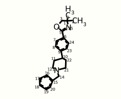 CC1(C)COC(c2ccc(C3CCN(Cc4ccccc4)CC3)cc2)=N1